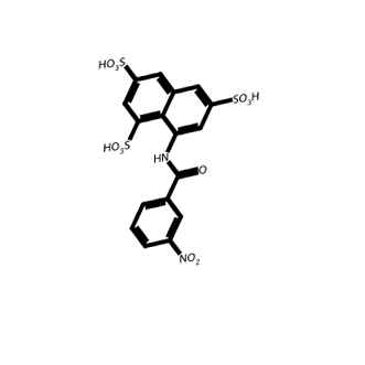 O=C(Nc1cc(S(=O)(=O)O)cc2cc(S(=O)(=O)O)cc(S(=O)(=O)O)c12)c1cccc([N+](=O)[O-])c1